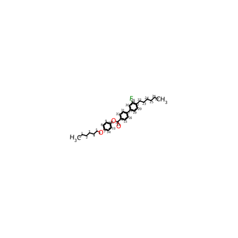 CCCCCCOc1ccc(OC(=O)c2ccc(-c3ccc(CCCCCC)c(F)c3)cc2)cc1